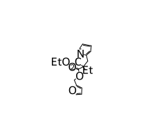 CCOC(=O)C(CC)(Cc1ccccn1)C(=O)OCc1ccco1